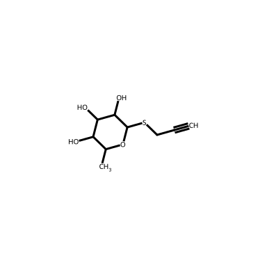 C#CCSC1OC(C)C(O)C(O)C1O